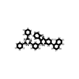 c1ccc(-c2nc(-c3ccccc3)nc(-c3cccc(-c4nc5cc(-c6cccc7ccccc67)ccc5c5sc6ccccc6c45)c3)n2)cc1